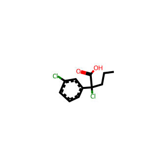 CCCC(Cl)(C(=O)O)c1cccc(Cl)c1